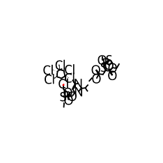 CCOC(=O)CC(SP(=S)(OC)OC)C(=O)OCC.CCOP(=S)(OCC)Oc1cc(C)nc(C(C)C)n1.Cl[C@H]1[C@H](Cl)[C@@H](Cl)[C@@H](Cl)[C@H](Cl)[C@H]1Cl